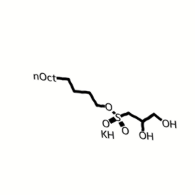 CCCCCCCCCCCCOS(=O)(=O)CC(O)CO.[KH]